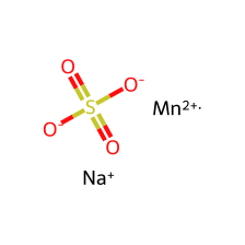 O=S(=O)([O-])[O-].[Mn+2].[Na+]